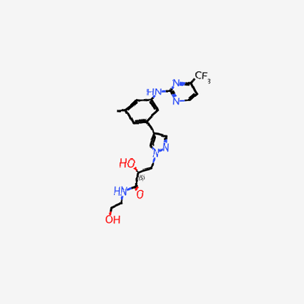 Cc1cc(Nc2nccc(C(F)(F)F)n2)cc(-c2cnn(C[C@H](O)C(=O)NCCO)c2)c1